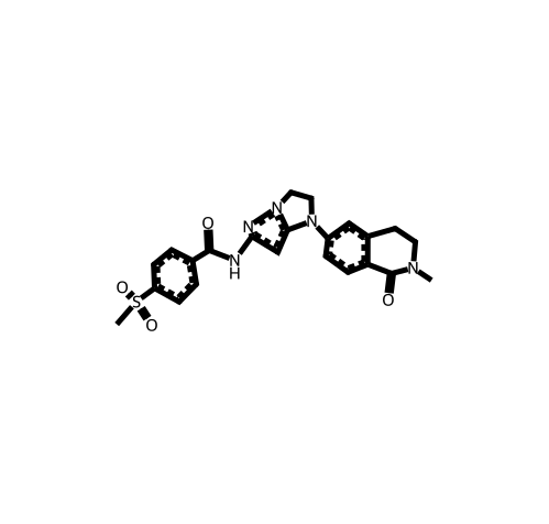 CN1CCc2cc(N3CCn4nc(NC(=O)c5ccc(S(C)(=O)=O)cc5)cc43)ccc2C1=O